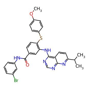 COc1ccc(Sc2ccc(C(=O)Nc3cccc(Br)c3)cc2Nc2ncnc3nc(C(C)C)ccc23)cc1